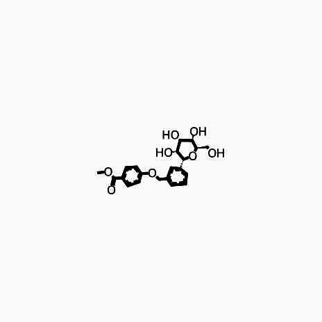 COC(=O)c1ccc(OCc2cccc([C@H]3O[C@H](CO)[C@@H](O)[C@H](O)[C@H]3O)c2)cc1